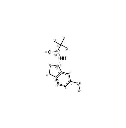 COc1ccc2c(c1)[C@@H](N[S+]([O-])C(C)(C)C)CC2